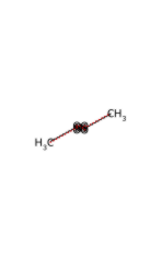 CCCCCCCCCCCCCCCCCCS(=O)(=O)N1CCN(S(=O)(=O)CCCCCCCCCCCCCCCCCC)CC1